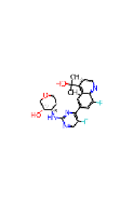 CC(C)(O)c1ccnc2c(F)cc(-c3nc(N[C@@H]4CCOC[C@H]4O)ncc3F)cc12